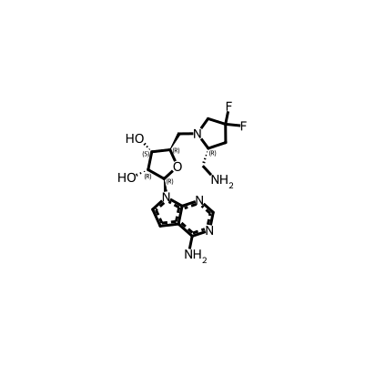 NC[C@H]1CC(F)(F)CN1C[C@H]1O[C@@H](n2ccc3c(N)ncnc32)[C@H](O)[C@@H]1O